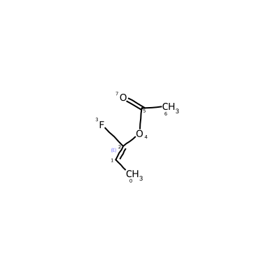 C/C=C(/F)OC(C)=O